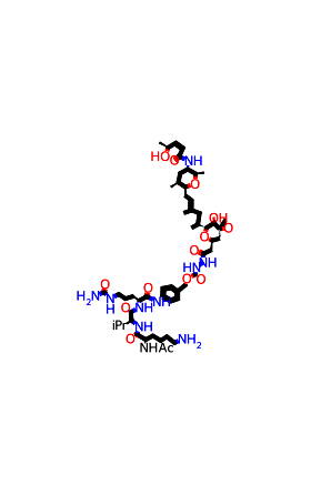 CC(=O)N[C@@H](CCCCN)C(=O)N[C@H](C(=O)N[C@@H](CCCNC(N)=O)C(=O)Nc1ccc(COC(=O)NNC(=O)C[C@@H]2C[C@@]3(CO3)[C@H](O)[C@@H](C(C)C/C(C)=C/C[C@@H]3O[C@H](C)[C@H](NC(=O)/C=C\[C@H](C)O)C[C@@H]3C)O2)cc1)C(C)C